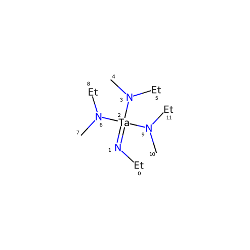 CC[N]=[Ta]([N](C)CC)([N](C)CC)[N](C)CC